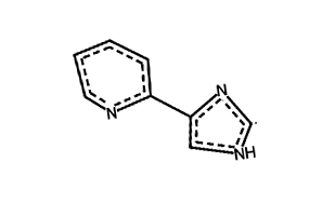 [c]1nc(-c2ccccn2)c[nH]1